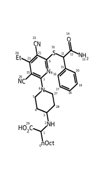 CCCCCCCCC(NC1CCN(c2nc(SC(C(N)=O)c3ccccc3)c(C#N)c(CC)c2C#N)CC1)C(=O)O